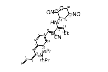 C=C/C=C(\C=C1\C=CC(/C=C(C#N)/C(=C\CC)NC2CC(N=O)COC2N=O)=CC1)N(CCC)CCC